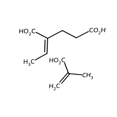 C=C(C)C(=O)O.CC=C(CCC(=O)O)C(=O)O